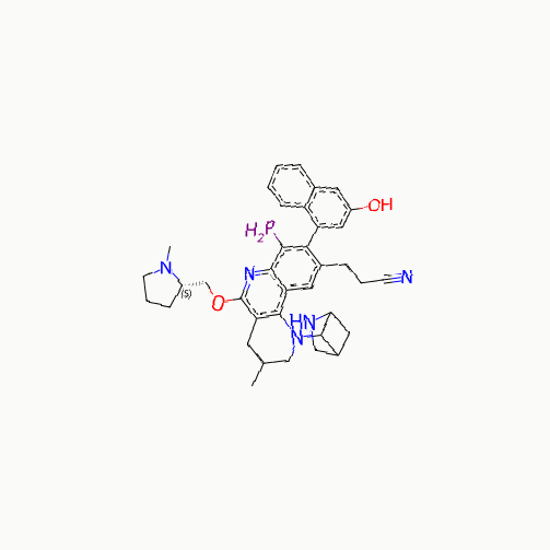 CC1Cc2c(OC[C@@H]3CCCN3C)nc3c(P)c(-c4cc(O)cc5ccccc45)c(CCC#N)cc3c2N(C2C3CNC2C3)C1